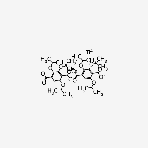 CC(C)Oc1cc(C(=O)[O-])c(OC(C)C)c(OC(C)C)c1C(=O)[O-].CC(C)Oc1cc(C(=O)[O-])c(OC(C)C)c(OC(C)C)c1C(=O)[O-].[Ti+4]